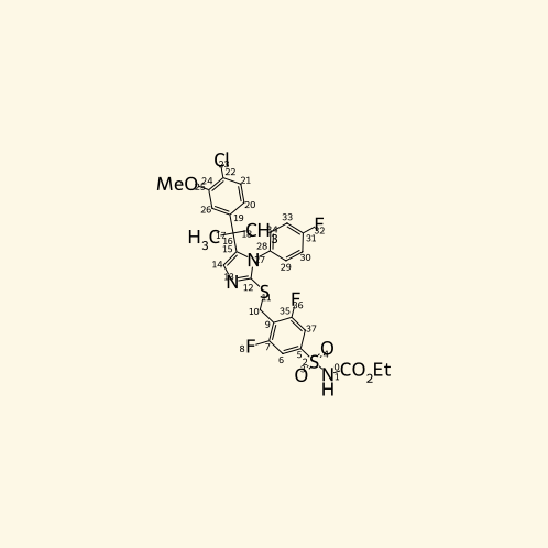 CCOC(=O)NS(=O)(=O)c1cc(F)c(CSc2ncc(C(C)(C)c3ccc(Cl)c(OC)c3)n2-c2ccc(F)cc2)c(F)c1